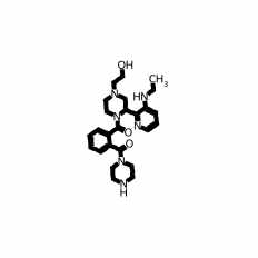 CCNc1cccnc1C1CN(CCO)CCN1C(=O)c1ccccc1C(=O)N1CCNCC1